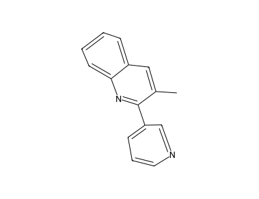 Cc1cc2ccccc2nc1-c1cccnc1